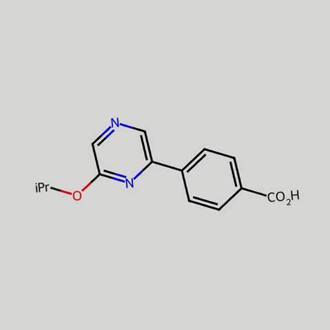 CC(C)Oc1cncc(-c2ccc(C(=O)O)cc2)n1